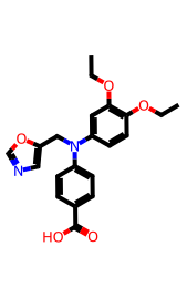 CCOc1ccc(N(Cc2cnco2)c2ccc(C(=O)O)cc2)cc1OCC